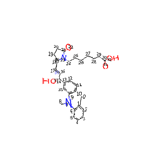 Cc1ccccc1N(C)c1cccc(C(O)/C=C/[C@H]2CCC(=O)N2CCCCCCC(=O)O)c1